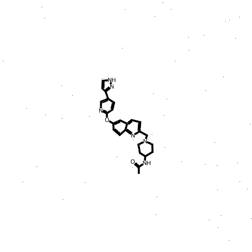 CC(=O)NC1CCN(Cc2ccc3cc(Oc4ccc(-c5cc[nH]n5)cn4)ccc3n2)CC1